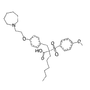 CCCCCCC(Cc1ccc(OCCN2CCCCCC2)cc1)(C(=O)O)S(=O)(=O)c1ccc(OC)cc1